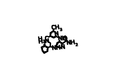 Cc1cc(C)nc(Nc2cc(NC(CN)c3ccccc3)cnc2C(N)=O)c1